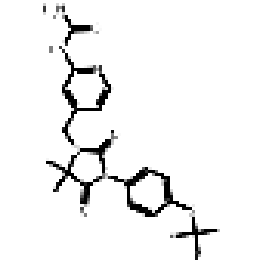 CC1(C)C(=O)N(c2ccc(SC(F)(F)F)cc2)C(=O)N1Cc1ccnc(NC(N)=O)c1